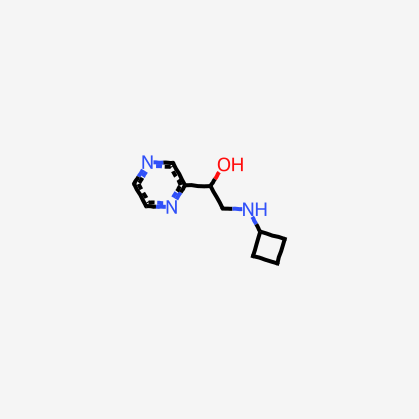 OC(CNC1CCC1)c1cnccn1